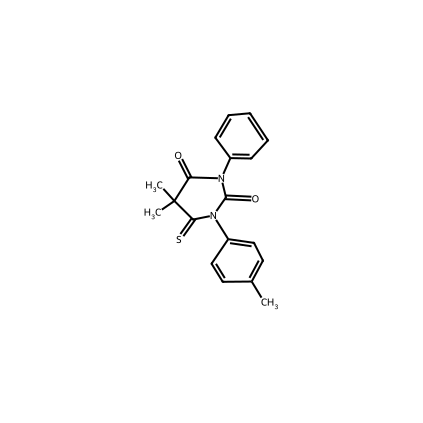 Cc1ccc(N2C(=O)N(c3ccccc3)C(=O)C(C)(C)C2=S)cc1